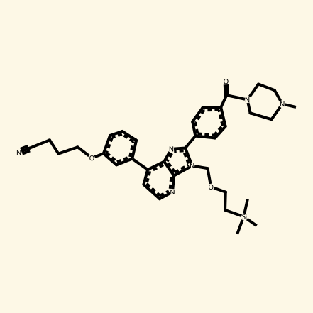 CN1CCN(C(=O)c2ccc(-c3nc4c(-c5cccc(OCCCC#N)c5)ccnc4n3COCC[Si](C)(C)C)cc2)CC1